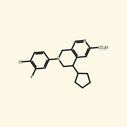 CCOC(=O)c1cc2c(cn1)CN(c1ccc(Cl)c(F)c1)CC2C1CCCC1